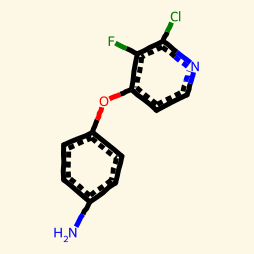 Nc1ccc(Oc2ccnc(Cl)c2F)cc1